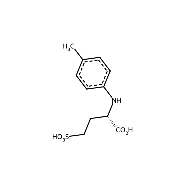 Cc1ccc(N[C@@H](CCS(=O)(=O)O)C(=O)O)cc1